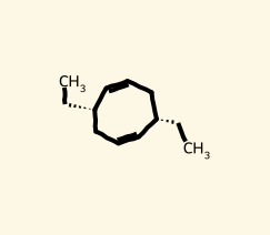 CC[C@@H]1C=CC[C@H](CC)C=CC1